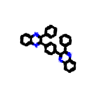 c1ccc(-c2nc3ccccc3nc2-c2ccc(-c3nc4ccccc4nc3-c3ccccc3)cc2)cc1